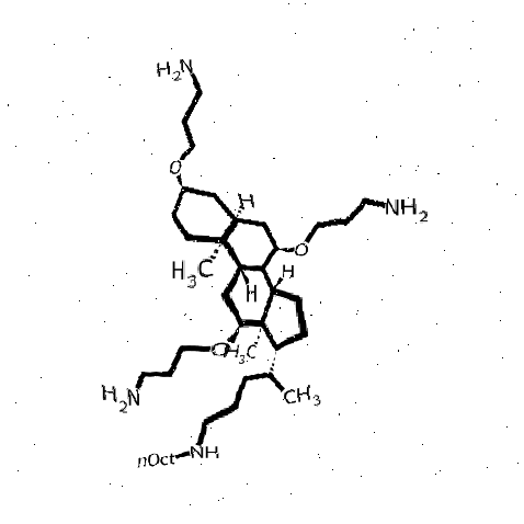 CCCCCCCCNCCCC(C)[C@H]1CC[C@H]2C3[C@H](OCCCN)C[C@@H]4C[C@H](OCCCN)CC[C@]4(C)[C@H]3C[C@H](OCCCN)[C@]12C